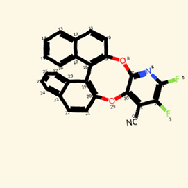 N#Cc1c(F)c(F)nc2oc3ccc4ccccc4c3c3c(ccc4ccccc43)oc12